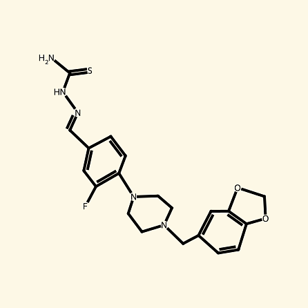 NC(=S)NN=Cc1ccc(N2CCN(Cc3ccc4c(c3)OCO4)CC2)c(F)c1